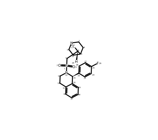 O=S(=O)(C[C@@H]1CN2CCC1CC2)N1CCc2ccccc2[C@@H]1c1ccc(F)cc1